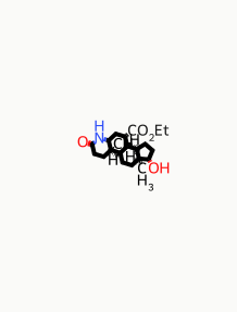 CCOC(=O)C1CC2NC(=O)CC[C@]2(C)[C@@H]2CC[C@]3(C)C(O)CC[C@H]3[C@H]12